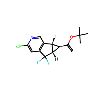 C=C(OC(C)(C)C)[C@@H]1[C@H]2c3cnc(Cl)cc3C(F)(F)[C@@H]12